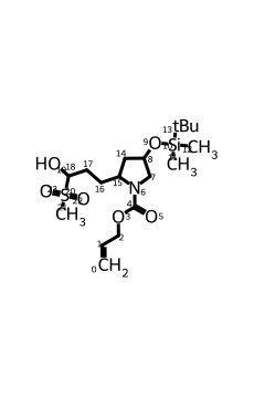 C=CCOC(=O)N1CC(O[Si](C)(C)C(C)(C)C)CC1CCC(O)S(C)(=O)=O